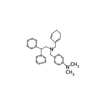 CN(C)c1ccc(CN(CC2=CCCC=C2)CC(c2ccccc2)c2ccccc2)cc1